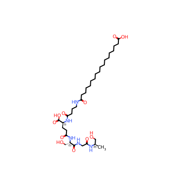 C[C@H](CO)NC(=O)CNC(=O)[C@H](CO)NC(=O)CC[C@H](NC(=O)CCCNC(=O)CCCCCCCCCCCCCCCCC(=O)O)C(=O)O